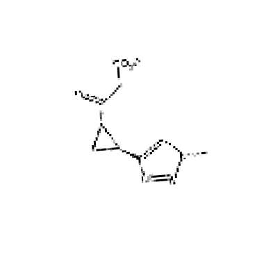 CCOC(=O)CC(=O)[C@H]1C[C@@H]1c1cn(C)nn1